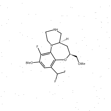 COC[C@@H]1C[C@@H]2CNCCN2c2c(F)c(OC)cc(C(F)F)c2O1